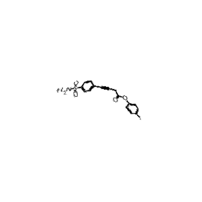 NS(=O)(=O)c1ccc(C#CCC(=O)Oc2ccc(I)cc2)cc1